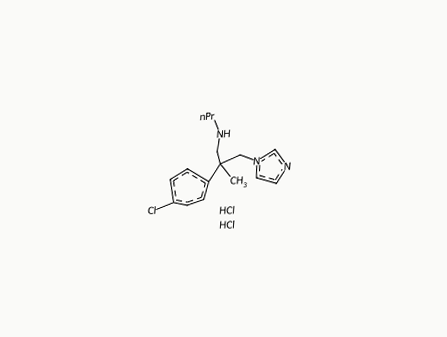 CCCNCC(C)(Cn1ccnc1)c1ccc(Cl)cc1.Cl.Cl